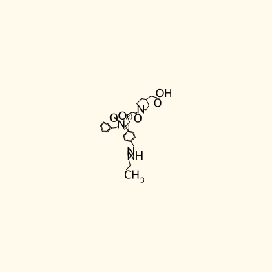 CCCCNN=Cc1ccc([C@@H]2C[C@H](CC(=O)N3CCC(CC(=O)O)CC3)OC(=O)N2Cc2ccccc2)cc1